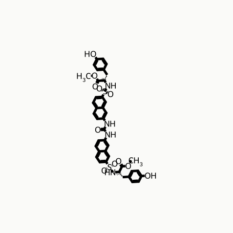 COC(=O)[C@H](Cc1ccc(O)cc1)NS(=O)(=O)c1ccc2ccc(NC(=O)Nc3ccc4ccc(S(=O)(=O)N[C@@H](Cc5ccc(O)cc5)C(=O)OC)cc4c3)cc2c1